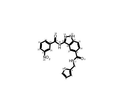 O=C(NCc1cccs1)c1ccc2[nH]nc(NC(=O)c3cccc([N+](=O)[O-])c3)c2c1